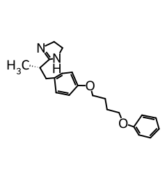 C[C@@H](Cc1ccc(OCCCCOc2ccccc2)cc1)C1=NCCN1